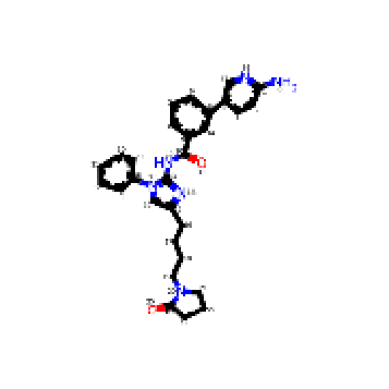 Nc1ccc(-c2cccc(C(=O)Nc3nc(CCCCN4CCCC4=O)cn3-c3ccccc3)c2)cn1